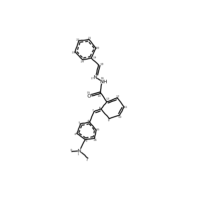 CN(C)c1ccc(C=C2CC=CC=C2C(=O)NN=Cc2ccccc2)cc1